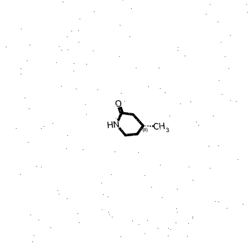 C[C@@H]1CCNC(=O)C1